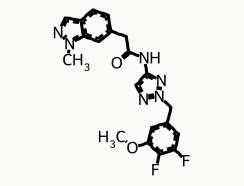 COc1cc(Cn2ncc(NC(=O)Cc3ccc4cnn(C)c4c3)n2)cc(F)c1F